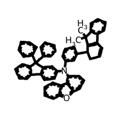 CC1(C)C2=C(C=CCC2c2cccc(N(c3ccc4c(c3)C(c3ccccc3)(c3ccccc3)c3ccccc3-4)c3cccc4oc5ccccc5c34)c2)c2ccccc21